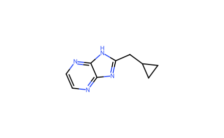 c1cnc2[nH]c(CC3CC3)nc2n1